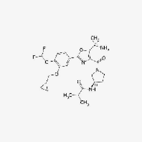 CC(C)C(=O)N[C@@H]1CCN(C(=O)c2nc(-c3ccc(OC(F)F)c(OCC4CC4)c3)oc2[C@H](C)N)C1